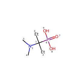 CCC(CC)(N(C)C)P(=O)(O)O